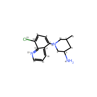 CC1CC(N)CN(c2ccc(Cl)c3ncccc23)C1